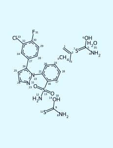 C.C=CC.NC(O)=S.NC(O)=S.NS(=O)(=O)c1ccccc1-n1nccc1-c1ccc(F)c(Cl)c1.O